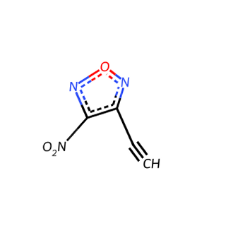 C#Cc1nonc1[N+](=O)[O-]